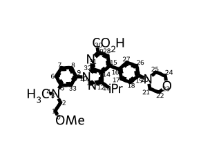 COCCN(C)c1cccc(-n2nc(C(C)C)c3c(-c4ccc(N5CCOCC5)cc4)cc(C(=O)O)nc32)c1